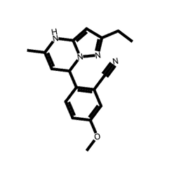 CCc1cc2n(n1)C(c1ccc(OC)cc1C#N)C=C(C)N2